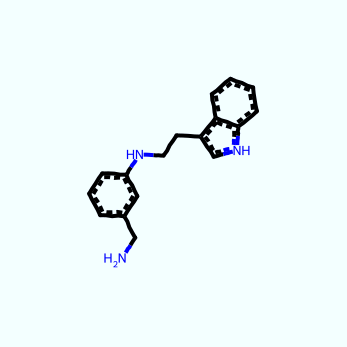 NCc1cccc(NCCc2c[nH]c3ccccc23)c1